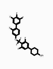 CCCC1CCC(c2cc(F)c(C(F)(F)Oc3ccc(-c4cc(F)c(F)c(F)c4)c(F)c3)c(F)c2)CC1